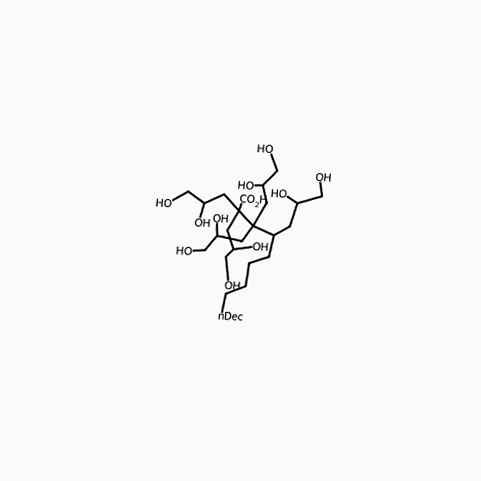 CCCCCCCCCCCCCCC(CC(O)CO)C(CC(O)CO)(CC(O)CO)C(CC(O)CO)(CC(O)CO)C(=O)O